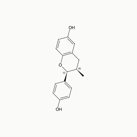 C[C@@H]1Cc2cc(O)ccc2O[C@@H]1c1ccc(O)cc1